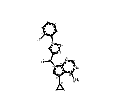 CCC(c1cn(-c2ccccc2F)nn1)n1cc(C2CC2)c2c(N)ncnc21